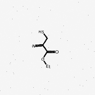 CCOC(=O)C(=[N])CS